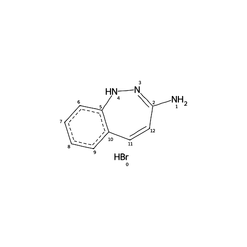 Br.NC1=NNc2ccccc2C=C1